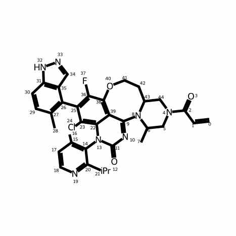 C=CC(=O)N1CC(C)N2c3nc(=O)n(-c4c(C)ccnc4C(C)C)c4c(Cl)c(-c5c(C)ccc6[nH]ncc56)c(F)c(c34)OCCC2C1